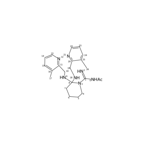 CC(=O)NC(=N)N1CCCCC1(NCc1ncccc1C)NCc1ncccc1C